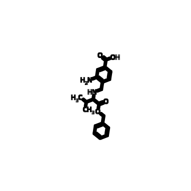 CC(C)C(NCc1ccc(C(=O)O)cc1N)C(=O)OCc1ccccc1